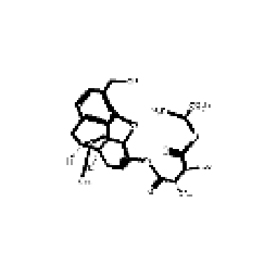 CC(=O)O[C@H](C(=O)OC1=CC[C@@]2(O)[C@H]3Cc4ccc(CO)c5c4C2(CCN3C)C1O5)[C@H](OC(C)=O)C(=O)O[C@@H](C)C(=O)O